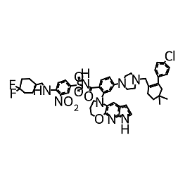 CC1(C)CCC(CN2CCN(c3ccc(C(=O)NS(=O)(=O)c4ccc(NCC5CCC(F)(F)CC5)c([N+](=O)[O-])c4)c(N4CCCOc5nc6[nH]ccc6cc54)c3)CC2)=C(c2ccc(Cl)cc2)C1